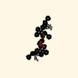 CC1(C)c2cc(-c3ccccc3)ccc2-c2ccc(N(c3ccc(-c4ccc(-c5cccc(-c6c(N(c7ccc(-c8ccccc8)cc7)c7ccc8c(c7)C(C)(C)c7cc(-c9ccccc9)ccc7-8)c7ccccc7c7ccccc67)c5)cc4)cc3)c3c(-c4cccc(-c5ccccc5)c4)c4ccccc4c4ccccc34)cc21